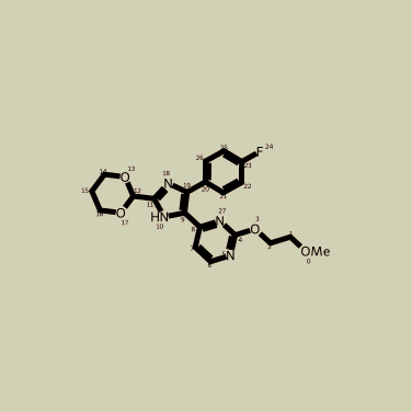 COCCOc1nccc(-c2[nH]c(C3OCCCO3)nc2-c2ccc(F)cc2)n1